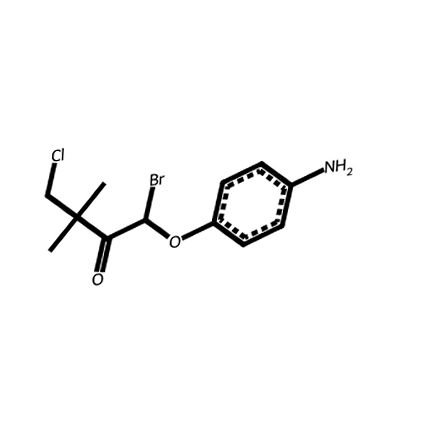 CC(C)(CCl)C(=O)C(Br)Oc1ccc(N)cc1